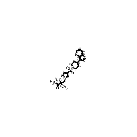 CC(=O)C(C)(C)Cn1cc(S(=O)(=O)N2CCC(c3coc4cccnc34)CC2)cn1